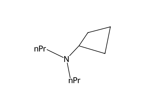 CCCN(CCC)C1CCC1